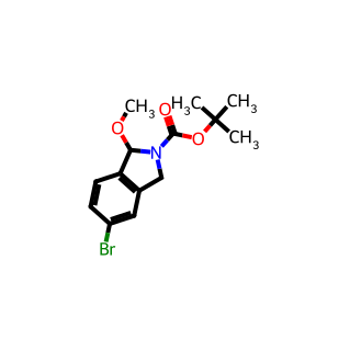 COC1c2ccc(Br)cc2CN1C(=O)OC(C)(C)C